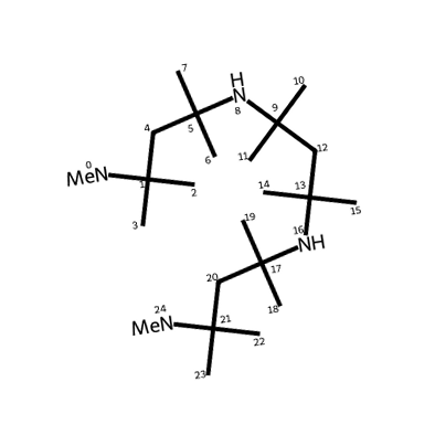 CNC(C)(C)CC(C)(C)NC(C)(C)CC(C)(C)NC(C)(C)CC(C)(C)NC